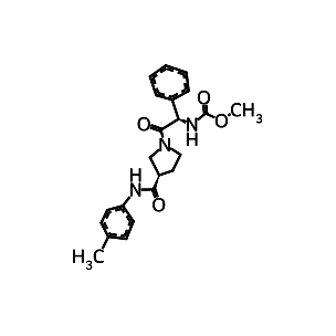 COC(=O)N[C@@H](C(=O)N1CC[C@@H](C(=O)Nc2ccc(C)cc2)C1)c1ccccc1